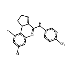 FC(F)(F)c1ccc(NC2=Nc3cc(Cl)cc(Cl)c3N3CCN=C23)cc1